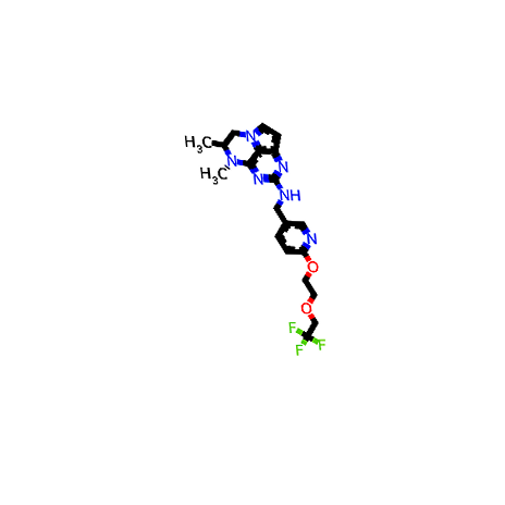 CC1Cn2ccc3nc(NCc4ccc(OCCOCC(F)(F)F)nc4)nc(c32)N1C